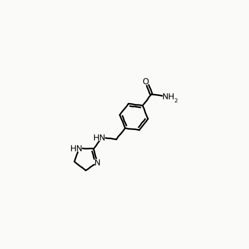 NC(=O)c1ccc(CNC2=NCCN2)cc1